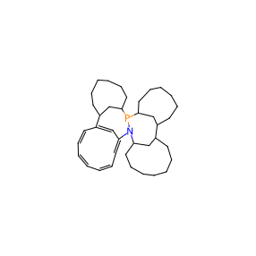 c1cccc2cc(ccc1)N1C3CCCCCCCC(C3)C3CCCCCCC(C3)P1C1CCCCCCC2C1